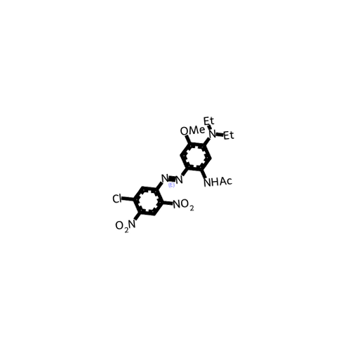 CCN(CC)c1cc(NC(C)=O)c(/N=N/c2cc(Cl)c([N+](=O)[O-])cc2[N+](=O)[O-])cc1OC